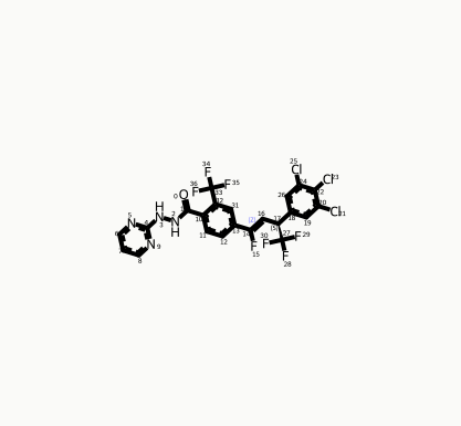 O=C(NNc1ncccn1)c1ccc(/C(F)=C/[C@@H](c2cc(Cl)c(Cl)c(Cl)c2)C(F)(F)F)cc1C(F)(F)F